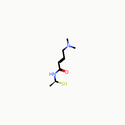 C[C@H](S)NC(=O)/C=C/CN(C)C